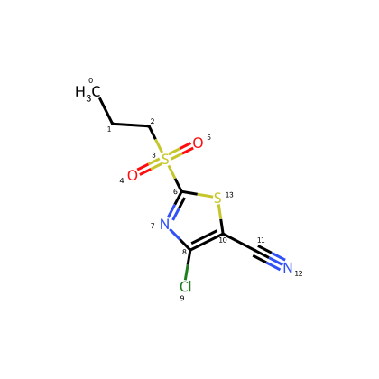 CCCS(=O)(=O)c1nc(Cl)c(C#N)s1